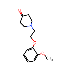 COc1ccccc1OCCN1CCC(=O)CC1